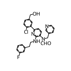 O=CN(Cc1cccnc1)c1ccc(-c2cc(CO)ccc2Cl)nc1NCCc1cccc(F)c1